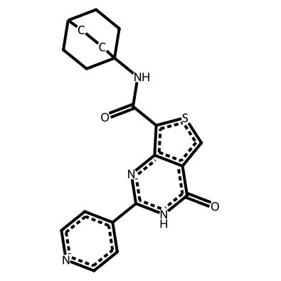 O=C(NC12CCC(CC1)CC2)c1scc2c(=O)[nH]c(-c3ccncc3)nc12